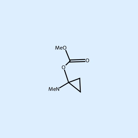 CNC1(OC(=O)OC)CC1